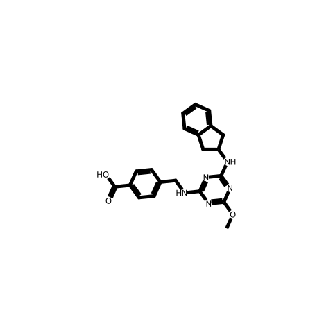 COc1nc(NCc2ccc(C(=O)O)cc2)nc(NC2Cc3ccccc3C2)n1